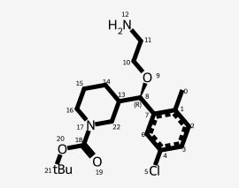 Cc1ccc(Cl)cc1[C@H](OCCN)C1CCCN(C(=O)OC(C)(C)C)C1